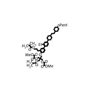 C=C(C)C(=O)OCCCc1cc(-c2ccc(C3CCC(CCC4CCC(CCCCC)CC4)CC3)cc2CC)ccc1OCC(COC(=O)C(=C)C)(COC(=O)C(=O)OC)COC(=O)C(=O)OC